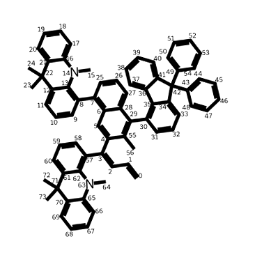 C=C/C=C(\c1cc2c(-c3cccc4c3N(C)c3ccccc3C4(C)C)cccc2c(-c2cccc3c2-c2ccccc2C3(c2ccccc2)c2ccccc2)c1C)c1cccc2c1N(C)c1ccccc1C2(C)C